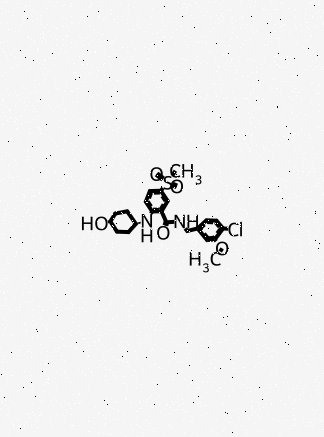 COc1cc(CNC(=O)c2cc(S(C)(=O)=O)ccc2N[C@H]2CC[C@H](O)CC2)ccc1Cl